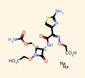 NC(=O)OC[C@@H]1[C@H](NC(=O)C(=NOCC(=O)O)c2csc(N)n2)C(=O)N1OCC(=O)O.[Na].[Na]